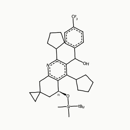 CC(C)(C)[Si](C)(C)O[C@H]1CC2(CC2)Cc2nc(C3CCCC3)c(C(O)c3ccc(C(F)(F)F)cc3)c(C3CCCC3)c21